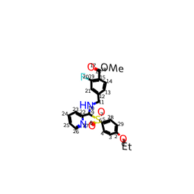 CCOc1ccc(S(=O)(=O)C(NCc2ccc(C(=O)OC)c(F)c2)c2ccccn2)cc1